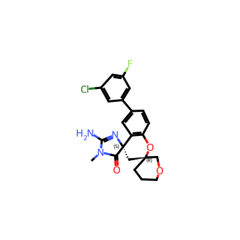 CN1C(=O)[C@@]2(C[C@@]3(CCCOC3)Oc3ccc(-c4cc(F)cc(Cl)c4)cc32)N=C1N